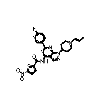 CC=CN1CCC(n2ncc3c(NC(=O)c4ccc([N+](=O)[O-])s4)nc(-c4ccc(F)nc4)nc32)CC1